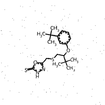 CC(C)(C)c1cccc(OC(CSCc2n[nH]c(=S)o2)C(C)(C)C)c1